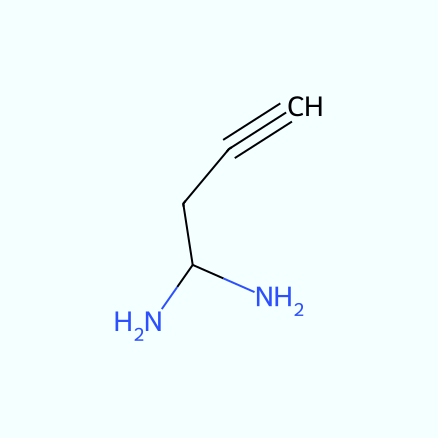 C#CCC(N)N